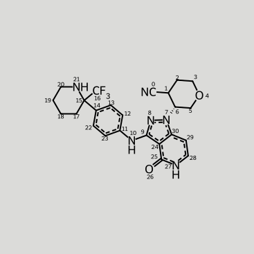 N#CC1CCOC[C@@H]1n1nc(Nc2ccc(C3(C(F)(F)F)CCCCN3)cc2)c2c(=O)[nH]ccc21